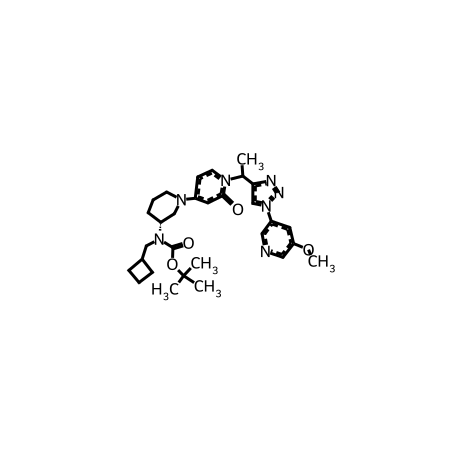 COc1cncc(-n2cc(C(C)n3ccc(N4CCC[C@@H](N(CC5CCC5)C(=O)OC(C)(C)C)C4)cc3=O)nn2)c1